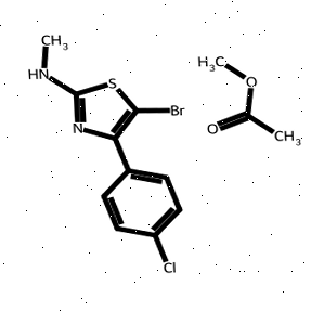 CNc1nc(-c2ccc(Cl)cc2)c(Br)s1.COC(C)=O